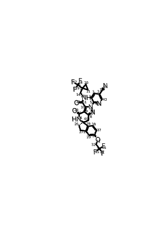 N#Cc1ccc(-n2nc3c(c2C(=O)NCC2(C(F)(F)F)CC2)C(=O)N[C@@]2(CCc4cc(OCC(F)(F)F)ccc42)C3)nc1